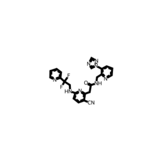 N#Cc1ccc(NCC(F)(F)c2ccccn2)nc1CC(=O)NCc1ncccc1-n1cncn1